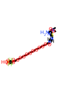 CCCN(OCC)C(=O)C1=Cc2sc(CN3C[C@@H]4CN(C(=O)CCOCCOCCOCCOCCOCCOCCOCCOCCOCCOCCC(=O)Oc5c(F)c(F)c(S(=O)(=O)O)c(F)c5F)C[C@@H]4C3)cc2N=C(N)C1